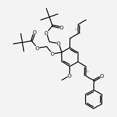 C/C=C/CC1=CC(/C=C/C(=O)c2ccccc2)C(OC)=CC1(OCOC(=O)C(C)(C)C)OCOC(=O)C(C)(C)C